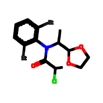 CCc1cccc(CC)c1N(C(=O)C(C)Cl)C(C)C1OCCO1